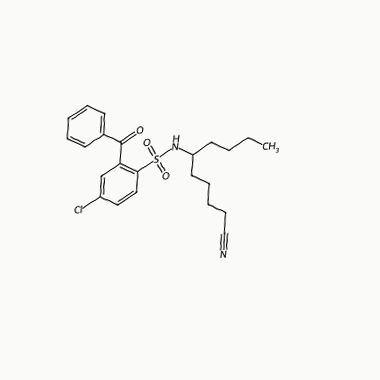 CCCCC(CCCCC#N)NS(=O)(=O)c1ccc(Cl)cc1C(=O)c1ccccc1